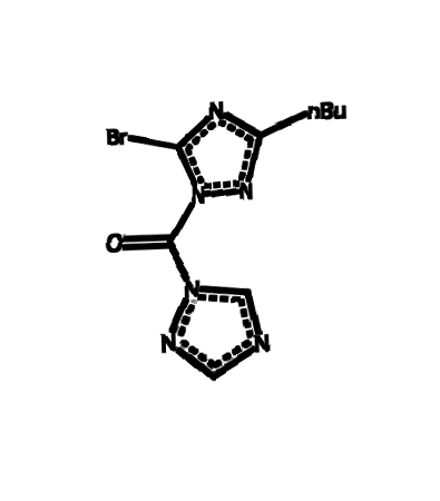 CCCCc1nc(Br)n(C(=O)n2cncn2)n1